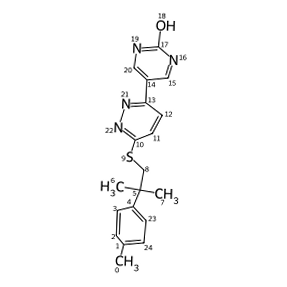 Cc1ccc(C(C)(C)CSc2ccc(-c3cnc(O)nc3)nn2)cc1